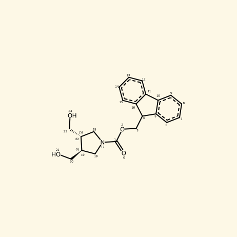 O=C(OCC1c2ccccc2-c2ccccc21)N1C[C@@H](CO)[C@H](CO)C1